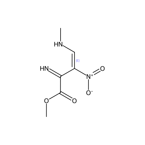 CN/C=C(\C(=N)C(=O)OC)[N+](=O)[O-]